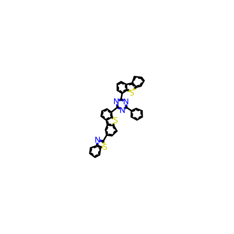 c1ccc(-c2nc(-c3cccc4c3sc3ccccc34)nc(-c3cccc4c3sc3ccc(-c5nc6ccccc6s5)cc34)n2)cc1